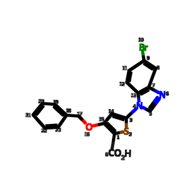 O=C(O)c1sc(-n2cnc3cc(Br)ccc32)cc1OCc1ccccc1